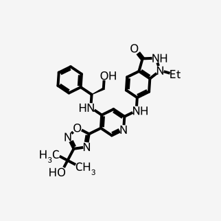 CCn1[nH]c(=O)c2ccc(Nc3cc(N[C@H](CO)c4ccccc4)c(-c4nc(C(C)(C)O)no4)cn3)cc21